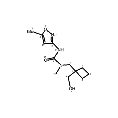 CN(CC1(CO)CCC1)C(=O)Nc1cc(C(C)(C)C)on1